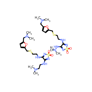 CN(C)CCNC1=NS(=O)(=O)N=C1NCCSCc1ccc(CN(C)C)o1.CN(C)Cc1ccc(CSCCNC2=NS(=O)(=O)N=C2NN(C)C)o1